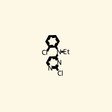 CCN(c1ccnc(Cl)n1)c1ccccc1Cl